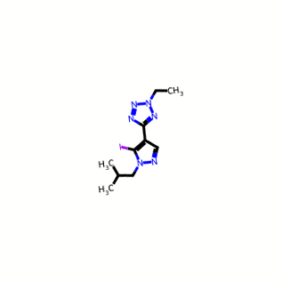 CCn1nnc(-c2cnn(CC(C)C)c2I)n1